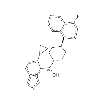 O[C@H](c1c(C2CC2)ccc2cncn12)[C@H]1CC[C@H](c2ccc(F)c3ccccc32)CC1